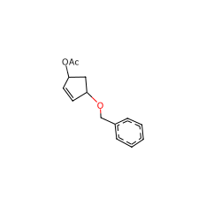 CC(=O)OC1C=CC(OCc2ccccc2)C1